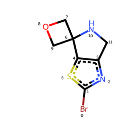 Brc1nc2c(s1)C1(COC1)NC2